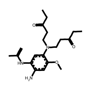 C=C(C)Nc1cc(N(CCC(=O)CC)CCC(=O)CC)c(OC)cc1N